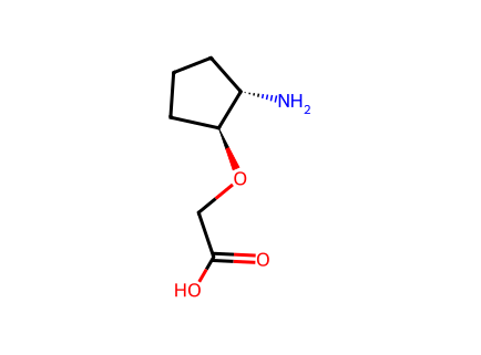 N[C@H]1CCC[C@@H]1OCC(=O)O